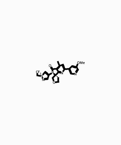 COc1cncc(-c2cc(C)c3c(n2)[C@]2(CCOC2)N(c2cnn(CC(F)(F)F)c2)C3=O)c1